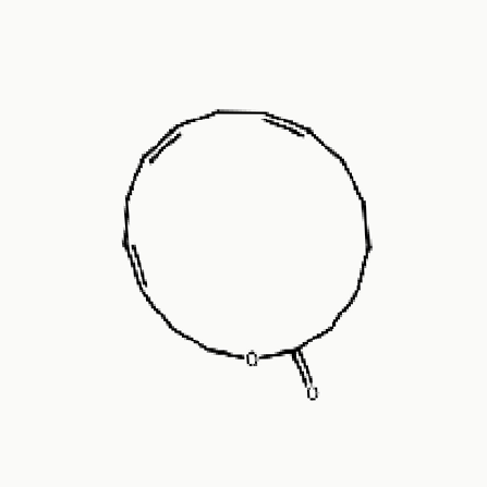 O=C1CCCCCC=CCC=CCC=CCCO1